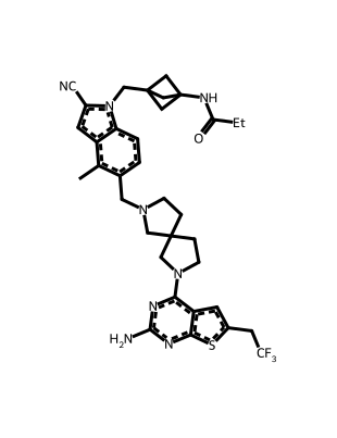 CCC(=O)NC12CC(Cn3c(C#N)cc4c(C)c(CN5CCC6(CCN(c7nc(N)nc8sc(CC(F)(F)F)cc78)C6)C5)ccc43)(C1)C2